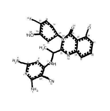 CC(Nc1nc(N)nc(N)c1C#N)c1nc2cccc(Cl)c2c(=O)n1-c1ccc(F)c(O)c1